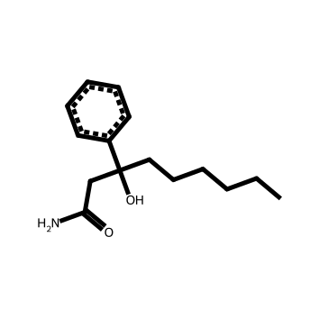 CCCCCCC(O)(CC(N)=O)c1ccccc1